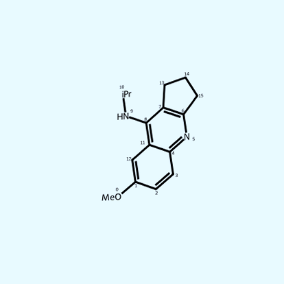 COc1ccc2nc3c(c(NC(C)C)c2c1)CCC3